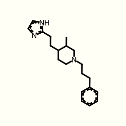 CC1CN(CCCc2ccccc2)CCC1CCc1ncc[nH]1